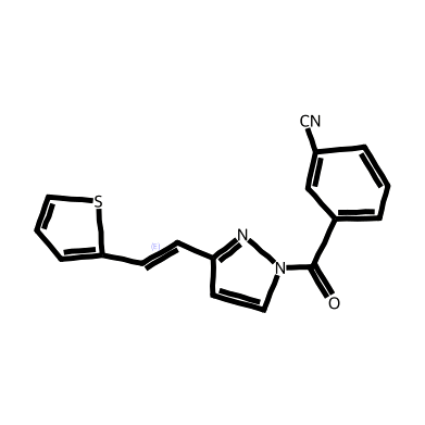 N#Cc1cccc(C(=O)n2ccc(/C=C/c3cccs3)n2)c1